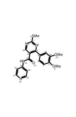 COc1ccc(-c2nc(SC)ncc2C(=O)Nc2ccncc2)cc1OC